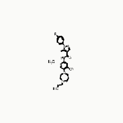 Cc1c(C(=O)Nc2ccc(N3CCCN(CCO)CC3)c(C#N)c2)cnn1-c1ccc(F)cc1.O